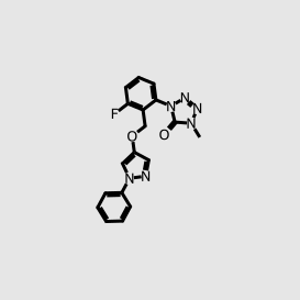 Cn1nnn(-c2cccc(F)c2COc2cnn(-c3ccccc3)c2)c1=O